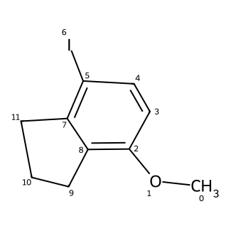 COc1ccc(I)c2c1CCC2